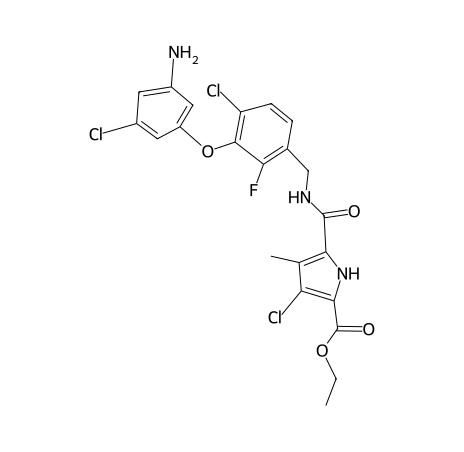 CCOC(=O)c1[nH]c(C(=O)NCc2ccc(Cl)c(Oc3cc(N)cc(Cl)c3)c2F)c(C)c1Cl